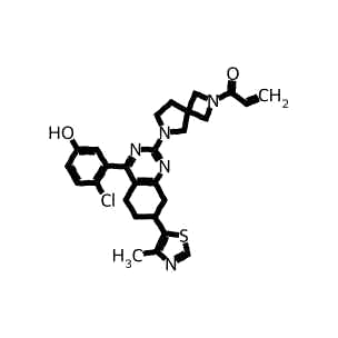 C=CC(=O)N1CC2(CCN(c3nc4c(c(-c5cc(O)ccc5Cl)n3)CCC(c3scnc3C)C4)C2)C1